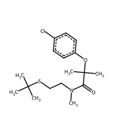 CN(CCSC(C)(C)C)C(=O)C(C)(C)Oc1ccc(Cl)cc1